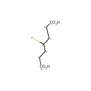 O=C(O)CCC(F)CCC(=O)O